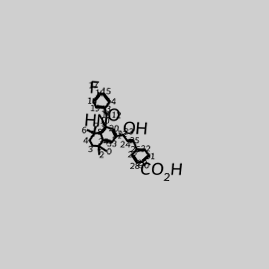 CC1(C)CCC(C)(C)c2c(NC(=O)c3ccc(F)cc3)cc(C(O)/C=C/c3ccc(C(=O)O)cc3)cc21